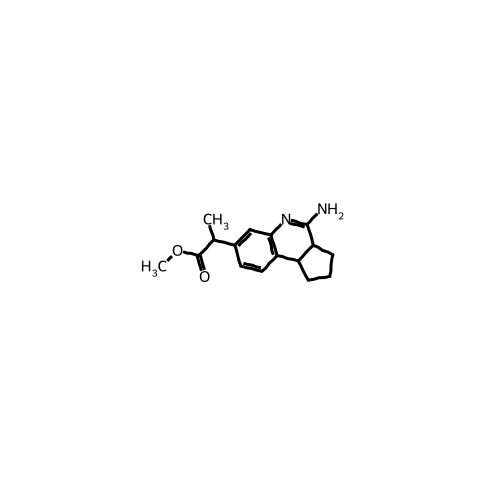 COC(=O)C(C)c1ccc2c(c1)N=C(N)C1CCCC21